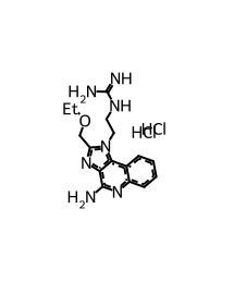 CCOCc1nc2c(N)nc3ccccc3c2n1CCNC(=N)N.Cl.Cl